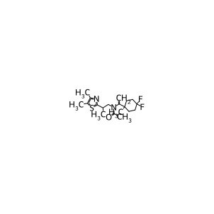 C=C(N(CC(C)c1nc(C)c(C)s1)C(C)=O)C1(C)CCC(F)(F)CC1